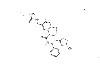 COC(=O)NCc1ccc2c(c1)[C@H](C(=O)N(C)[C@H](CN1CC[C@H](O)C1)c1ccccc1)CCO2